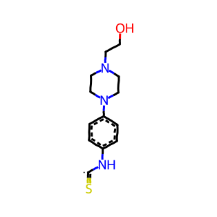 OCCN1CCN(c2ccc(N[C]=S)cc2)CC1